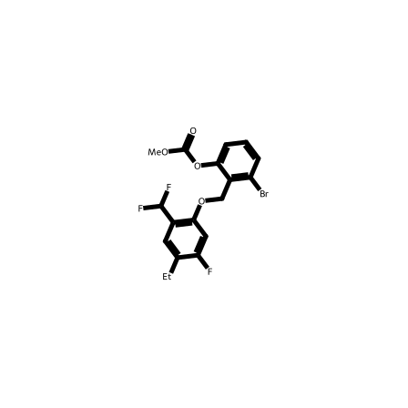 CCc1cc(C(F)F)c(OCc2c(Br)cccc2OC(=O)OC)cc1F